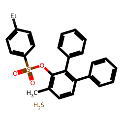 CCc1ccc(S(=O)(=O)Oc2c(C)ccc(-c3ccccc3)c2-c2ccccc2)cc1.S